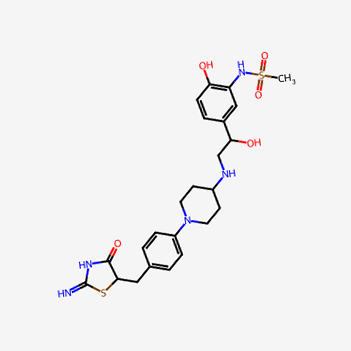 CS(=O)(=O)Nc1cc(C(O)CNC2CCN(c3ccc(CC4SC(=N)NC4=O)cc3)CC2)ccc1O